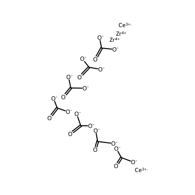 O=C([O-])[O-].O=C([O-])[O-].O=C([O-])[O-].O=C([O-])[O-].O=C([O-])[O-].O=C([O-])[O-].O=C([O-])[O-].[Ce+3].[Ce+3].[Zr+4].[Zr+4]